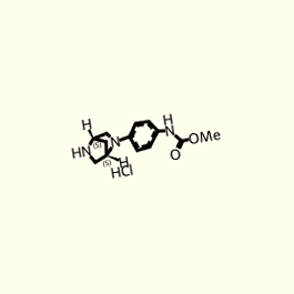 COC(=O)Nc1ccc(N2C[C@@H]3C[C@H]2CN3)cc1.Cl